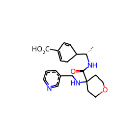 C[C@H](NC(=O)C1(NCc2cccnc2)CCOCC1)C1C=CC(C(=O)O)=CC1